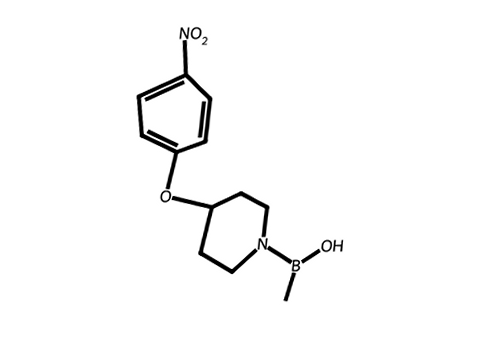 CB(O)N1CCC(Oc2ccc([N+](=O)[O-])cc2)CC1